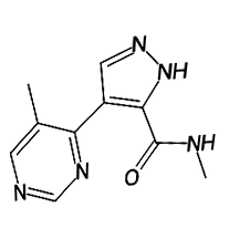 CNC(=O)c1[nH]ncc1-c1ncncc1C